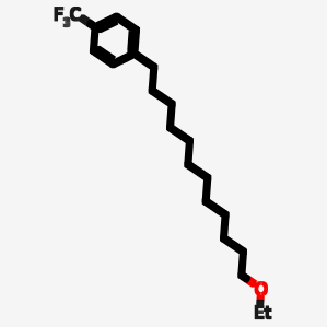 CCOCCCCCCCCCCCCc1ccc(C(F)(F)F)cc1